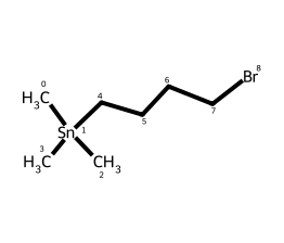 [CH3][Sn]([CH3])([CH3])[CH2]CCCBr